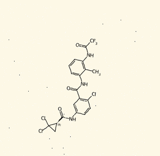 Cc1c(NC(=O)c2cc(NC(=O)[C@H]3CC3(Cl)Cl)ccc2Cl)cccc1NC(=O)C(F)(F)F